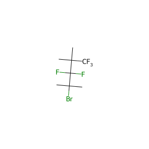 CC(C)(Br)C(F)(F)C(C)(C)C(F)(F)F